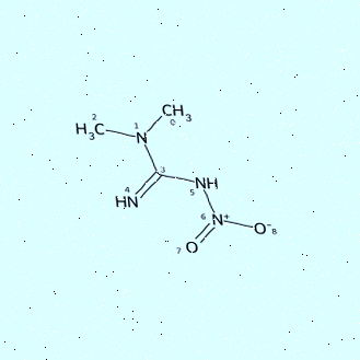 CN(C)C(=N)N[N+](=O)[O-]